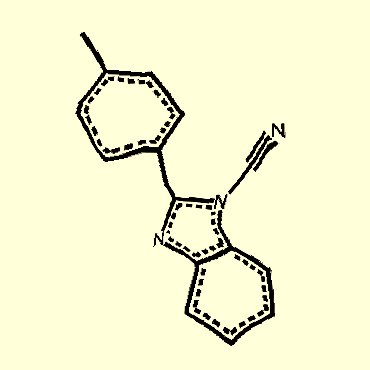 Cc1ccc(-c2nc3ccccc3n2C#N)cc1